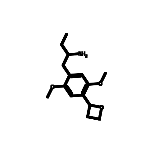 CCC(N)Cc1cc(OC)c(C2CCO2)cc1OC